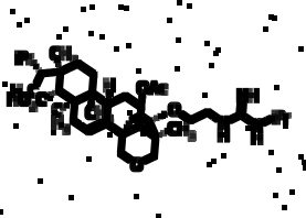 CC(=O)O[C@@H]1C[C@@]23COC[C@@](C)(C2CC[C@H]2C3=CC[C@@]3(C)[C@H](C(=O)O)[C@@](C)([C@H](C)C(C)C)CC[C@]23C)[C@H]1OCCNC(=N)NC(C)C